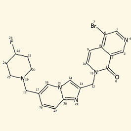 O=c1c2cncc(Br)c2ccn1Cc1cn2cc(CN3CCC(F)CC3)ccc2n1